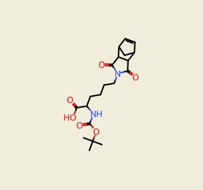 CC(C)(C)OC(=O)NC(CCCCN1C(=O)C2C3C=CC(C3)C2C1=O)C(=O)O